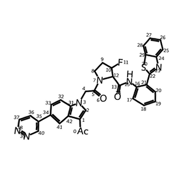 CC(=O)c1cn(CC(=O)N2CCC(F)C2C(=O)Nc2ccccc2-c2nc3ccccc3s2)c2ccc(-c3ccnnc3)cc12